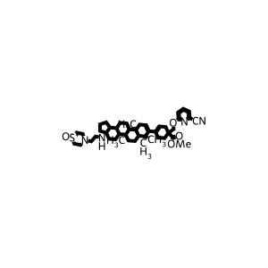 COC(=O)C1(COc2cccc(C#N)n2)CC=C(C2=CCC3(C)C(CCC4(C)C5CCC6(NCCN7CC[S+]([O-])CC7)CCCC6C5CCC43)C2(C)C)CC1